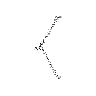 CN(C)Cc1cc(OCCCCCCCCCCCCC=CCCCCCCCC(=O)O)cc(OCCCCCCCCCCCCC=CCCCCCCCC(=O)O)c1